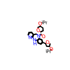 CC(C)O[C@@H]1COC(c2ccc3c(c2)N(C(=O)[C@H]2CC[C@H](OC(C)C)CO2)Cc2cccnc2N3)C1